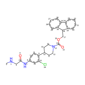 CNCC(=O)Nc1ccc(C2CCN(C(=O)OCC3c4ccccc4-c4ccccc43)CC2)c(Cl)c1